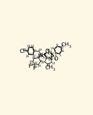 CN=[S@](=O)(c1ccc(C)cc1)N1CC(C)CC1C(=O)N(Cc1ccc(Cl)cc1)C1CCC(F)(F)CC1